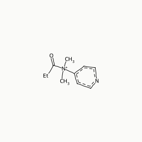 CCC(=O)[N+](C)(C)c1ccncc1